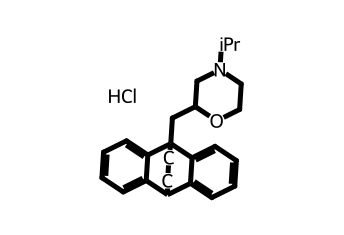 CC(C)N1CCOC(CC23CCC(c4ccccc42)c2ccccc23)C1.Cl